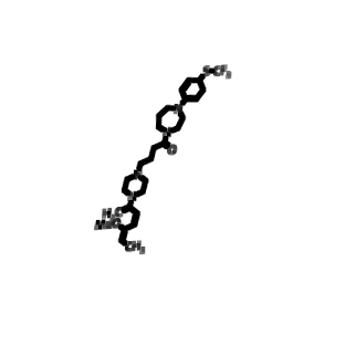 C=C(/C=C\C(=C/C)OC)N1CCN(CCCC(=O)N2CCCN(C3=CCC(SC(F)(F)F)C=C3)CC2)CC1